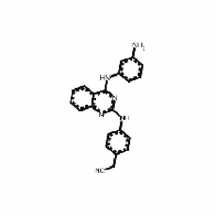 N#CCc1ccc(Nc2nc(Nc3cccc(N)c3)c3ccccc3n2)cc1